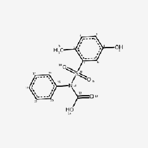 Cc1ccc(O)cc1S(=O)(=O)N(C(=O)O)c1ccccc1